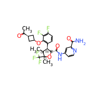 CC(=O)[C@H]1C[C@@H](Oc2c([C@H]3[C@H](C(=O)Nc4ccnc(C(N)=O)c4)O[C@@](C)(C(F)(F)F)[C@H]3C)ccc(F)c2F)C1